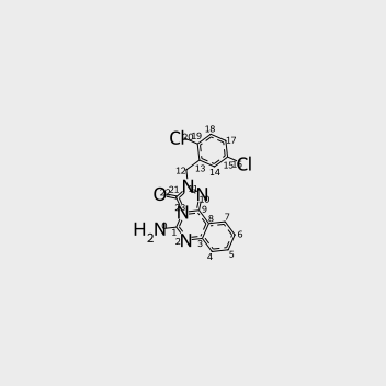 Nc1nc2ccccc2c2nn(Cc3cc(Cl)ccc3Cl)c(=O)n12